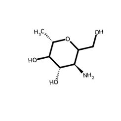 C[C@@H]1OC(CO)[C@@H](N)[C@H](O)C1O